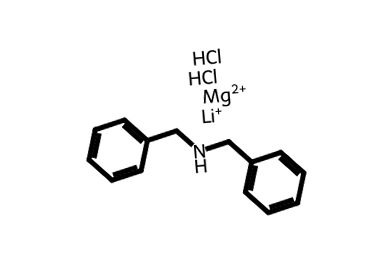 Cl.Cl.[Li+].[Mg+2].c1ccc(CNCc2ccccc2)cc1